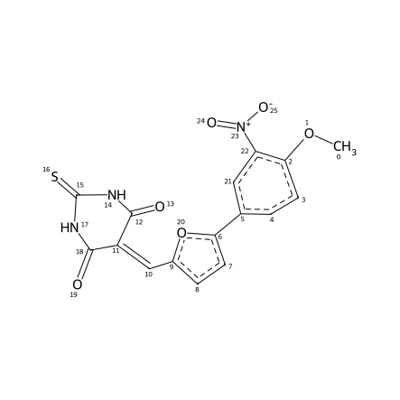 COc1ccc(-c2ccc(C=C3C(=O)NC(=S)NC3=O)o2)cc1[N+](=O)[O-]